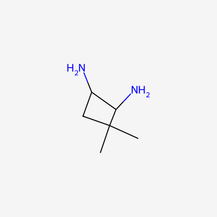 CC1(C)CC(N)C1N